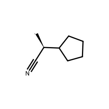 [CH2][C@H](C#N)C1CCCC1